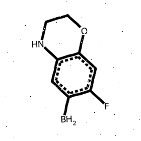 Bc1cc2c(cc1F)OCCN2